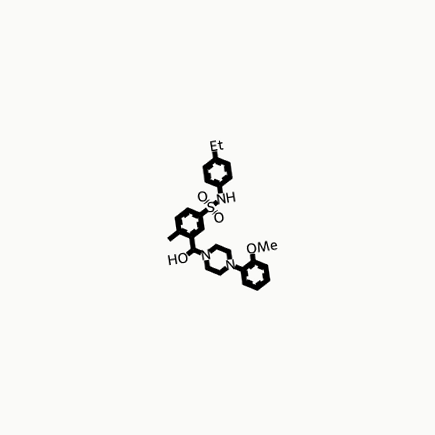 CCc1ccc(NS(=O)(=O)c2ccc(C)c(C(O)N3CCN(c4ccccc4OC)CC3)c2)cc1